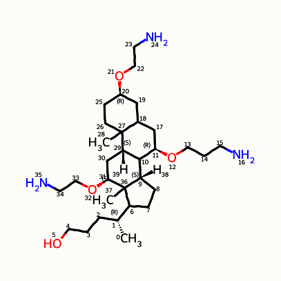 C[C@H](CCCO)C1CC[C@H]2C3[C@H](OCCCN)CC4C[C@H](OCCN)CCC4(C)[C@H]3C[C@H](OCCN)C12C